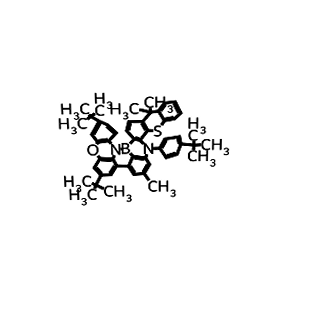 Cc1cc2c3c(c1)N(c1ccc(C(C)(C)C)cc1)c1c(ccc4c1Sc1ccccc1C4(C)C)B3N1c3ccc(C(C)(C)C)cc3Oc3cc(C(C)(C)C)cc-2c31